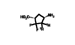 [2H]C1([2H])[C@@H](N)C[C@@H](C(=O)O)C1(F)F